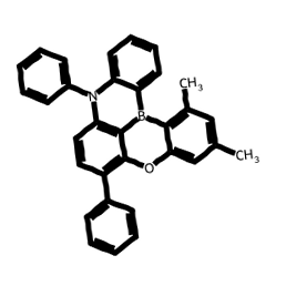 Cc1cc(C)c2c(c1)Oc1c(-c3ccccc3)ccc3c1B2c1ccccc1N3c1ccccc1